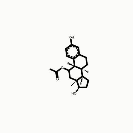 CC(=O)OC1C[C@]2(C)[C@H](O)CC[C@H]2[C@@H]2CCc3cc(O)ccc3[C@@H]12